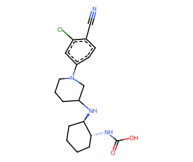 N#Cc1ccc(N2CCCC(N[C@@H]3CCCC[C@H]3NC(=O)O)C2)cc1Cl